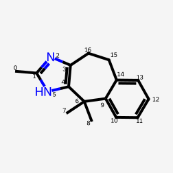 Cc1nc2c([nH]1)C(C)(C)c1ccccc1CC2